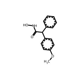 COc1ccc(C(C(=O)NO)c2ccccc2)cc1